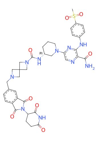 CS(=O)(=O)c1ccc(Nc2nc(N3CCC[C@@H](NC(=O)N4CC5(CN(Cc6ccc7c(c6)C(=O)N(C6CCC(=O)NC6=O)C7=O)C5)C4)C3)cnc2C(N)=O)cc1